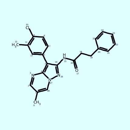 Cc1cnc2c(-c3ccc(Cl)c(C)c3)c(NC(=O)CCc3ccccc3)nn2c1